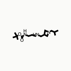 C[C](C)CN1CC(CNCCCNC(=O)OC(C)(C)C)C1